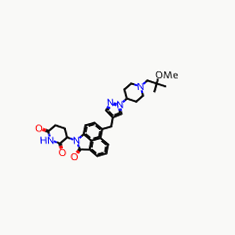 COC(C)(C)CN1CCC(n2cc(Cc3ccc4c5c(cccc35)C(=O)N4C3CCC(=O)NC3=O)cn2)CC1